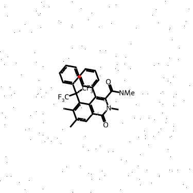 CNC(=O)c1c(-c2ccccc2)c2c(C(c3ccccc3)(C(F)(F)F)C(F)(F)F)c(C)c(C)cc2c(=O)n1C